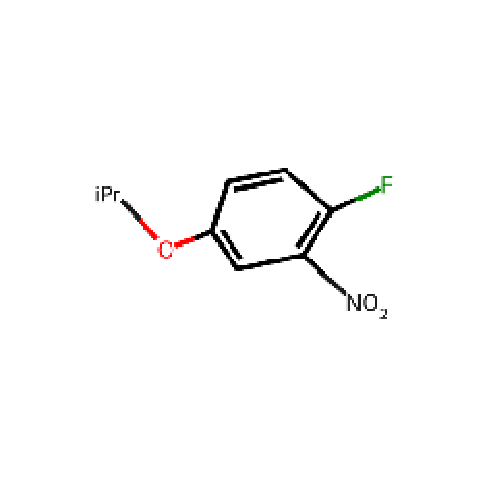 CC(C)Oc1ccc(F)c([N+](=O)[O-])c1